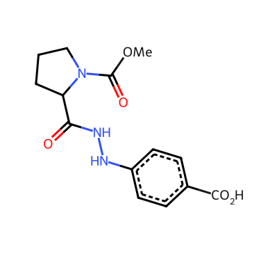 COC(=O)N1CCCC1C(=O)NNc1ccc(C(=O)O)cc1